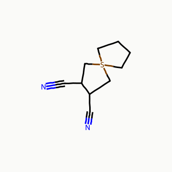 N#CC1CS2(CCCC2)CC1C#N